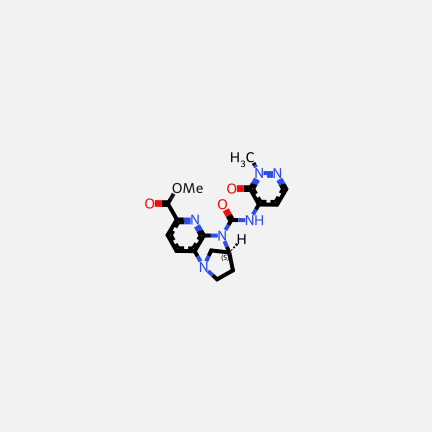 COC(=O)c1ccc2c(n1)N(C(=O)Nc1ccnn(C)c1=O)[C@H]1CCN2C1